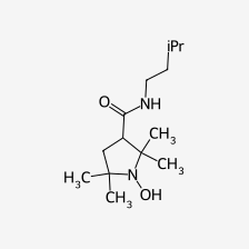 CC(C)CCNC(=O)C1CC(C)(C)N(O)C1(C)C